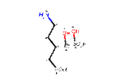 CCCCCCCCCCCCN.CCO.O=S(=O)(O)O